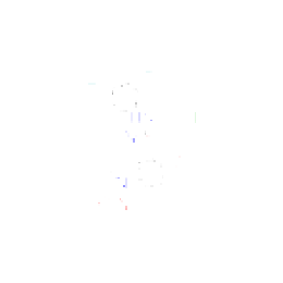 CCOC(=O)N1c2cc(OC)c(OC)cc2C(N(Cc2cc(C(F)(F)F)cc(C(F)(F)F)c2)C(=O)NCCCl)CC1C